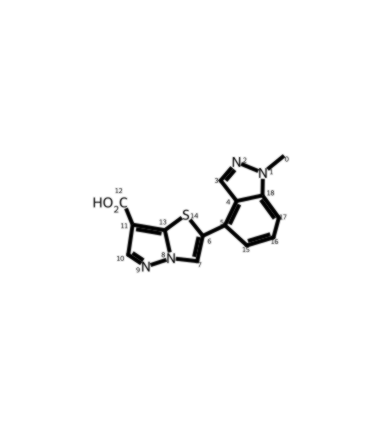 Cn1ncc2c(-c3cn4ncc(C(=O)O)c4s3)cccc21